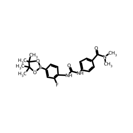 CN(C)C(=O)c1ccc(NC(=O)Nc2ccc(B3OC(C)(C)C(C)(C)O3)cc2F)cc1